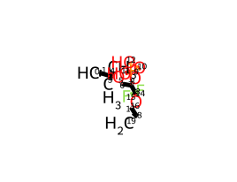 C#CC(C)(C)OCC(OP(=O)(O)O)C(F)(F)OCC=C